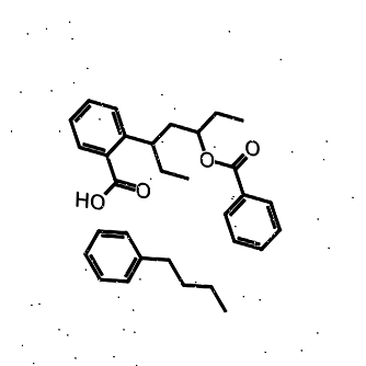 CCC(CC(CC)c1ccccc1C(=O)O)OC(=O)c1ccccc1.CCCCc1ccccc1